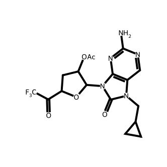 CC(=O)OC1CC(C(=O)C(F)(F)F)OC1n1c(=O)n(CC2CC2)c2cnc(N)nc21